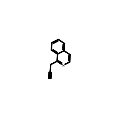 [C]#CCc1nccc2ccccc12